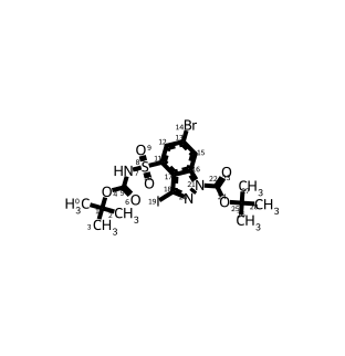 CC(C)(C)OC(=O)NS(=O)(=O)c1cc(Br)cc2c1c(I)nn2C(=O)OC(C)(C)C